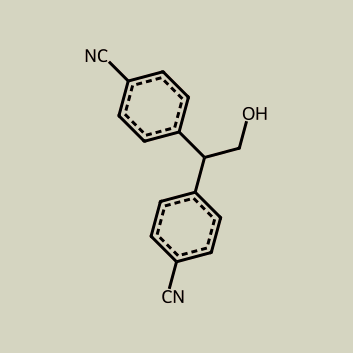 N#Cc1ccc(C(CO)c2ccc(C#N)cc2)cc1